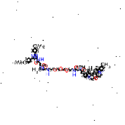 COc1ccc(-c2cc(NC(=O)CCC(=O)N(C)CC(=O)NCCCOCCOCCOCCCNC(=O)CN(C)C(=O)Cc3ccc4c(c3)C(C)(C)C3=C5C=C6C7=[N+](CCC6OC5CCN34)c3ccc(C)cc3C7(C)C)nc(-c3ccc(OC)cc3)n2)cc1